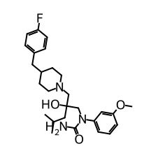 COc1cccc(N(CC(O)(CC(C)C)CN2CCC(Cc3ccc(F)cc3)CC2)C(N)=O)c1